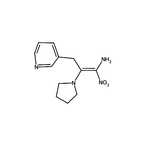 NC(=C(Cc1cccnc1)N1CCCC1)[N+](=O)[O-]